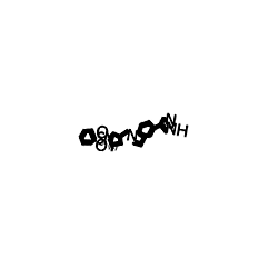 C[C@@H]1CC(Cn2ccc3cc(-c4cn[nH]c4)ccc32)CN1S(=O)(=O)c1ccccc1